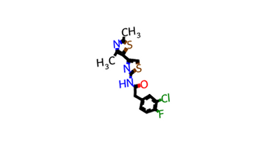 Cc1nc(C)c(-c2csc(NC(=O)Cc3ccc(F)c(Cl)c3)n2)s1